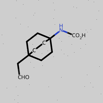 O=CCC12CCC(NC(=O)O)(CC1)CC2